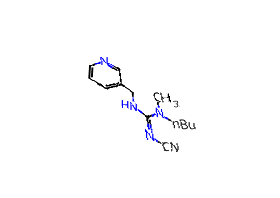 CCCCN(C)C(=NC#N)NCc1cccnc1